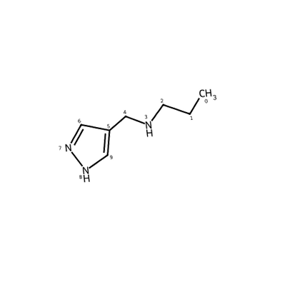 CCCNCc1cn[nH]c1